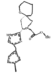 Cc1ccc(-c2c[nH]c([C@@H]3C[C@]4(CCCCO4)CN3C(=O)OC(C)(C)C)n2)cc1